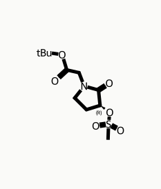 CC(C)(C)OC(=O)CN1CC[C@@H](OS(C)(=O)=O)C1=O